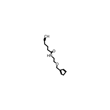 C#CCCCC(=O)NCCOCC1=CCC=C1